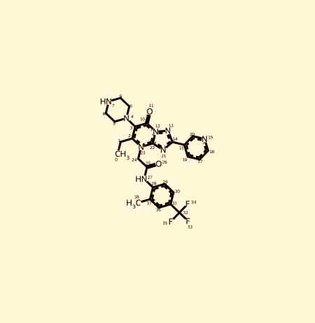 CCc1c(N2CCNCC2)c(=O)n2nc(-c3cccnc3)nc2n1CC(=O)Nc1ccc(C(F)(F)F)cc1C